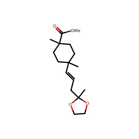 COC(=O)C1(C)CCC(C)(/C=C/CC2(C)OCCO2)CC1